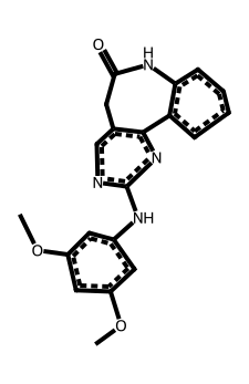 COc1cc(Nc2ncc3c(n2)-c2ccccc2NC(=O)C3)cc(OC)c1